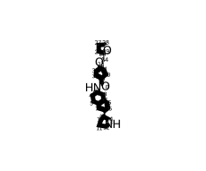 O=C(N[C@@H]1CCc2cc([C@@H]3CCCNC3)ccc2C1)c1ccc(OC[C@@H]2CCCO2)cc1